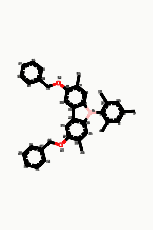 Cc1cc(C)c(B2c3cc(C)c(OCc4ccccc4)cc3-c3cc(OCc4ccccc4)c(C)cc32)c(C)c1